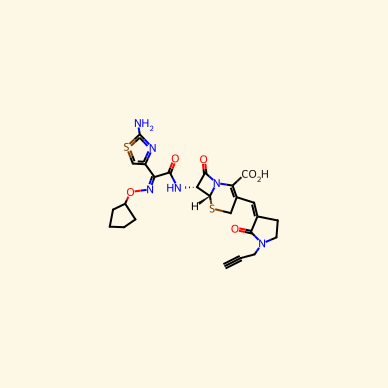 C#CCN1CCC(=CC2=C(C(=O)O)N3C(=O)[C@@H](NC(=O)C(=NOC4CCCC4)c4csc(N)n4)[C@H]3SC2)C1=O